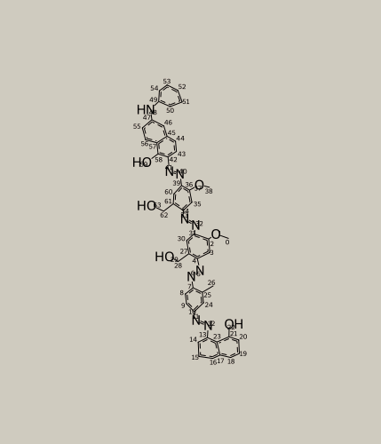 COc1cc(N=Nc2ccc(N=Nc3cccc4cccc(O)c34)cc2C)c(CO)cc1N=Nc1cc(OC)c(N=Nc2ccc3cc(Nc4ccccc4)ccc3c2O)cc1CO